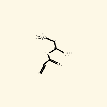 C=CC(=O)OC(CC(=O)OCC)C(=O)O